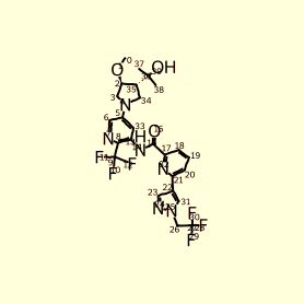 CO[C@@H]1CN(c2cnc(C(F)(F)F)c(NC(=O)c3cccc(-c4cnn(CC(F)(F)F)c4)n3)c2)C[C@H]1C(C)(C)O